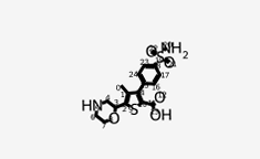 Cc1c(C2CNCCO2)sc(C(=O)O)c1-c1ccc(S(N)(=O)=O)cc1